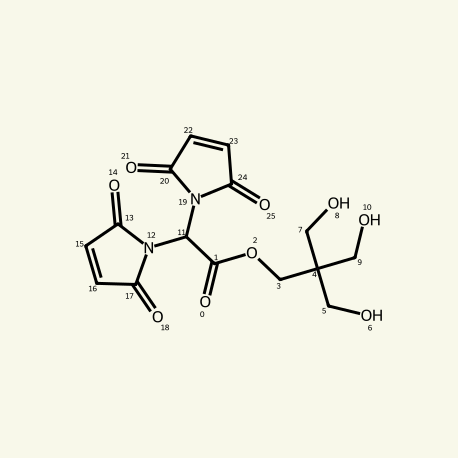 O=C(OCC(CO)(CO)CO)C(N1C(=O)C=CC1=O)N1C(=O)C=CC1=O